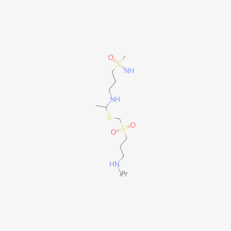 CC(C)NCCCS(=O)(=O)CSC(C)NCCCS(C)(=N)=O